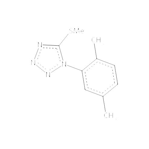 CSc1nnnn1-c1cc(C)ccc1C